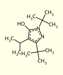 CC(C)c1c(C(C)(C)C)nn(C(C)(C)C)c1O